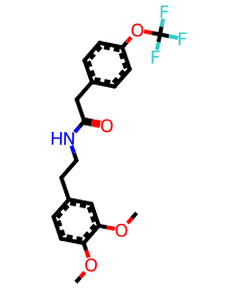 COc1ccc(CCNC(=O)Cc2ccc(OC(F)(F)F)cc2)cc1OC